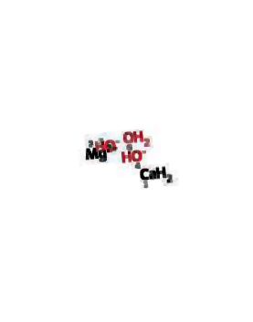 O.[CaH2].[Mg+2].[OH-].[OH-]